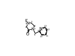 O=C1CN(I)CCN1Cc1ccccn1